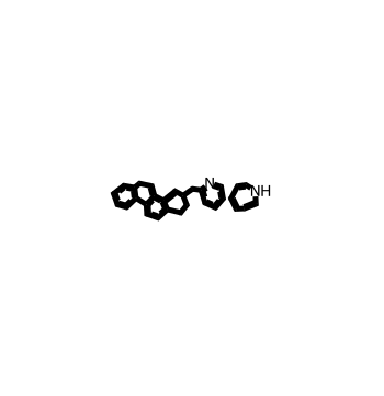 C1=CC=CNC=C1.C1=c2c(ccc3c2=CCc2ccccc2-3)CCC1Cc1ccccn1